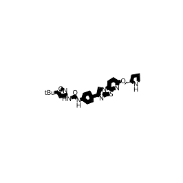 CC(C)(C)c1cc(NC(=O)Nc2ccc(-c3cn4c(n3)sc3nc(OC[C@@H]5CCCN5)ccc34)cc2)no1